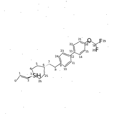 CC=C[Si@H]1CC[C@H](CCc2ccc(-c3ccc(OC(F)F)cc3)cc2)CC1